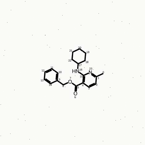 Cc1ccc(C(=O)OCc2ccccc2)c(NC2CCCCC2)n1